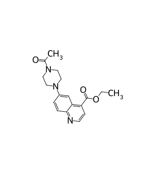 CCOC(=O)c1ccnc2ccc(N3CCN(C(C)=O)CC3)cc12